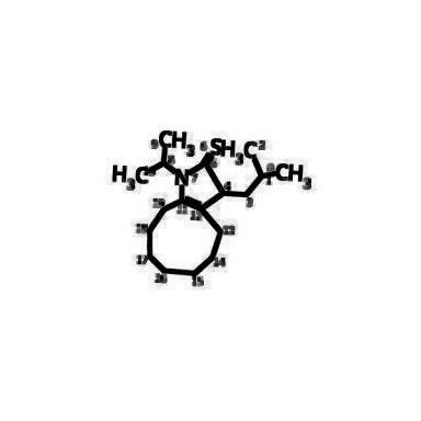 CC(C)CC1C(=S)N(C(C)C)C2=C1CCCCCCC2